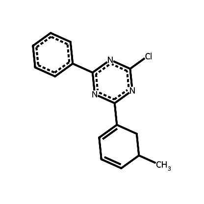 CC1C=CC=C(c2nc(Cl)nc(-c3ccccc3)n2)C1